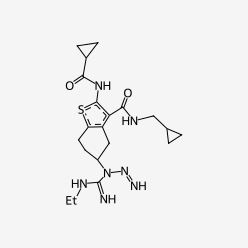 CCNC(=N)N(N=N)C1CCc2sc(NC(=O)C3CC3)c(C(=O)NCC3CC3)c2C1